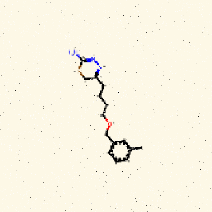 Cc1cccc(COCCCCC2=NN=C(N)SC2)c1